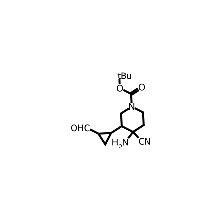 CC(C)(C)OC(=O)N1CCC(N)(C#N)C(C2CC2C=O)C1